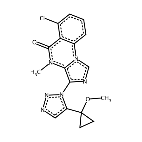 COC1(c2cnnn2-c2ncn3c4cccc(Cl)c4c(=O)n(C)c23)CC1